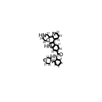 O=C(Nc1ccccc1N1CCOCC1)c1ccc2c(-c3cccnc3C3CNCCO3)c[nH]c2c1